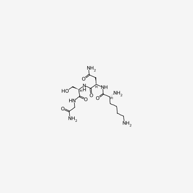 NCCCC[C@@H](N)C(=O)N[C@H](CC(N)=O)C(=O)N[C@H](CO)C(=O)NCC(N)=O